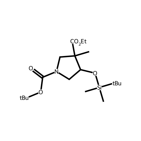 CCOC(=O)C1(C)CN(C(=O)OC(C)(C)C)CC1O[Si](C)(C)C(C)(C)C